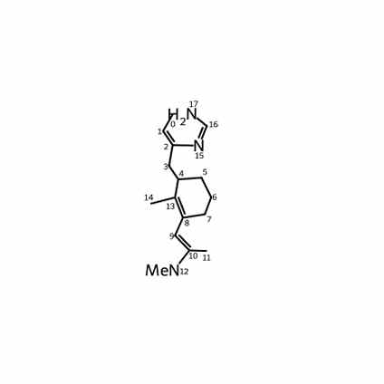 C/C=C(CC1CCCC(/C=C(\C)NC)=C1C)\N=C/N